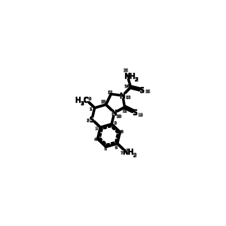 CC1Sc2ccc(N)cc2N2C(=S)N(C(N)=S)CC12